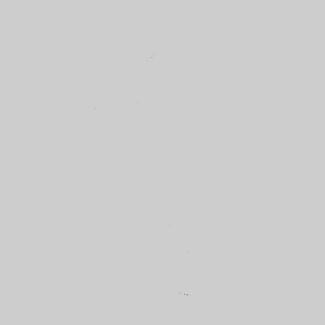 C=C(C)C(=O)OCC(CC)(COC(=O)CCCCCCCCC(=O)OCC(CC)(COC(=O)C(=C)C)COC(=O)C(=C)C)COC(=O)C(=C)C